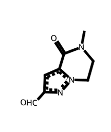 CN1CCn2nc(C=O)cc2C1=O